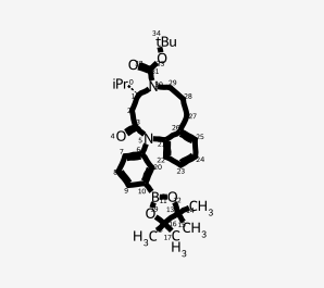 CC(C)[C@H]1CC(=O)N(c2cccc(B3OC(C)(C)C(C)(C)O3)c2)c2ccccc2CCCN1C(=O)OC(C)(C)C